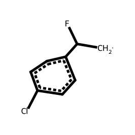 [CH2]C(F)c1ccc(Cl)cc1